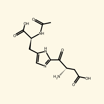 CC(=O)N[C@@H](Cc1cnc(C(=O)[C@@H](N)CC(=O)O)[nH]1)C(=O)O